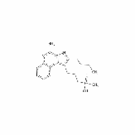 CCOCc1nc2c(N)nc3ccccc3c2n1CCCP(C)(=O)O